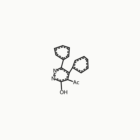 CC(=O)c1c(O)nnc(-c2ccccc2)c1-c1ccccc1